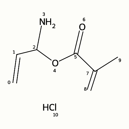 C=CC(N)OC(=O)C(=C)C.Cl